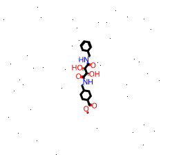 COC(=O)C1CCC(CNC(=O)[C@H](O)[C@@H](O)C(=O)NCC2C=CC=CC2)CC1